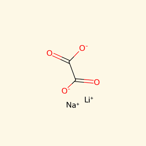 O=C([O-])C(=O)[O-].[Li+].[Na+]